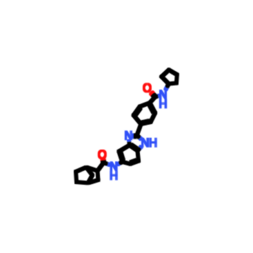 O=C(NC1CCCC1)c1ccc(-c2nc3cc(NC(=O)C4CC5CCC4C5)ccc3[nH]2)cc1